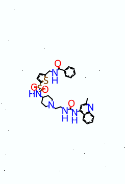 Cc1cc(NC(=O)NCCN2CCC(NS(=O)(=O)c3ccc(CNC(=O)c4ccccc4)s3)CC2)c2ccccc2n1